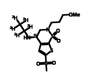 [2H]C([2H])([2H])C([2H])([2H])N[C@H]1CN(CCCOC)S(=O)(=O)c2sc(S(C)(=O)=O)cc21